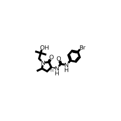 CC1C[C@H](NC(=O)Nc2ccc(Br)cc2)C(=O)N1CC(C)(C)O